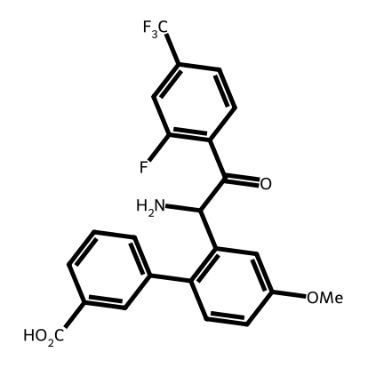 COc1ccc(-c2cccc(C(=O)O)c2)c(C(N)C(=O)c2ccc(C(F)(F)F)cc2F)c1